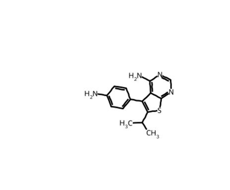 CC(C)c1sc2ncnc(N)c2c1-c1ccc(N)cc1